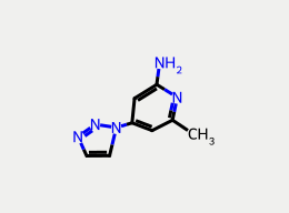 Cc1cc(-n2ccnn2)cc(N)n1